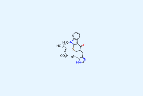 CCCc1[nH]cnc1CC1CSc2c(c3ccccc3n2C)C1=O.O=C(O)C=CC(=O)O